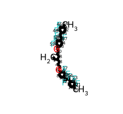 C=CC(CCCOc1ccc(/C(F)=C(\F)c2ccc(C)c(F)c2F)c(F)c1F)CCCOc1ccc(/C(F)=C(\F)c2ccc(C)c(F)c2F)c(F)c1F